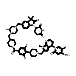 CNc1cc(=O)n(-c2ccnc3c2cc(CN2CCC(c4c(F)cc(C(=O)N5CCC(CN6CCN(Cc7ccc8c(c7)C(C)(C)C(=O)N8[C@H]7CCC(=O)NC7=O)C[C@@H]6C)CC5)cc4F)CC2)n3C)cc1F